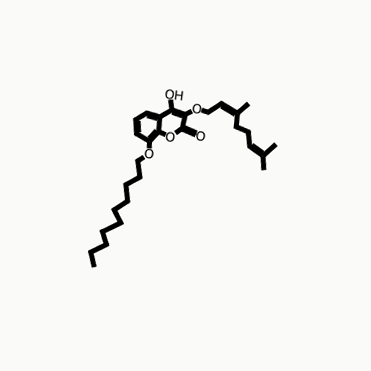 CCCCCCCCCCOc1cccc2c(O)c(OCC=C(C)CCC=C(C)C)c(=O)oc12